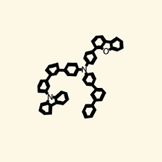 c1ccc(-c2cccc(-c3ccc(N(c4ccc(-c5cccc(-c6cccc(-n7c8ccccc8c8ccccc87)c6)c5)cc4)c4ccc(-c5cccc6c5oc5ccccc56)cc4)cc3)c2)cc1